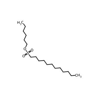 CCCCCCCCCCCCS(=O)(=O)OCCCCCC